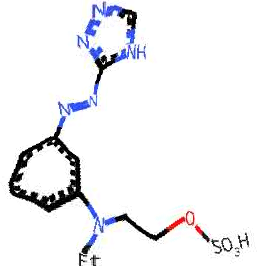 CCN(CCOS(=O)(=O)O)c1cccc(N=Nc2nnc[nH]2)c1